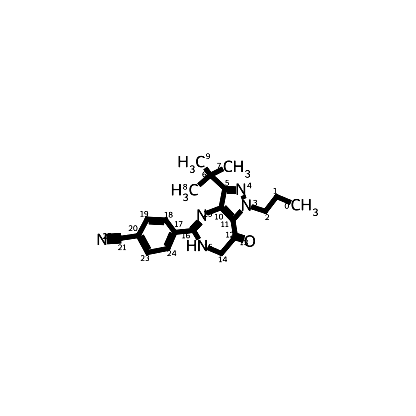 CCCn1nc(C(C)(C)C)c2c1C(=O)CNC(c1ccc(C#N)cc1)=N2